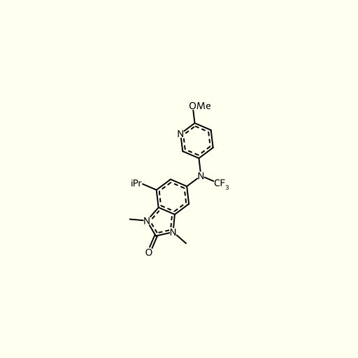 COc1ccc(N(c2cc(C(C)C)c3c(c2)n(C)c(=O)n3C)C(F)(F)F)cn1